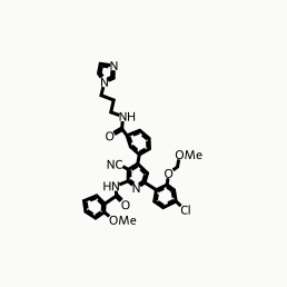 COCOc1cc(Cl)ccc1-c1cc(-c2cccc(C(=O)NCCCn3ccnc3)c2)c(C#N)c(NC(=O)c2ccccc2OC)n1